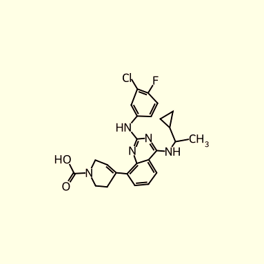 CC(Nc1nc(Nc2ccc(F)c(Cl)c2)nc2c(C3=CCN(C(=O)O)CC3)cccc12)C1CC1